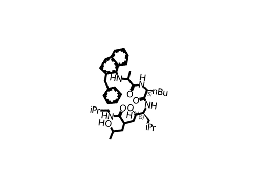 CCCC[C@H](NC(=O)C(C)Nc1c(Cc2ccccc2)ccc2ccccc12)C(=O)N[C@@H](CC(C)C)[C@@H](O)CC(CC(C)O)C(=O)NCC(C)C